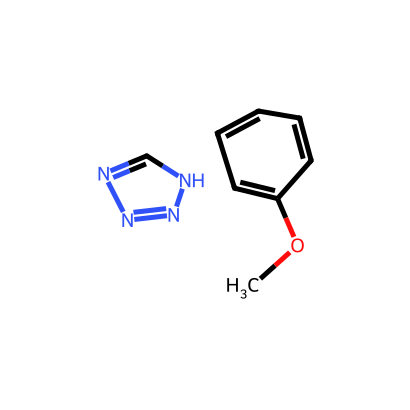 COc1ccccc1.c1nnn[nH]1